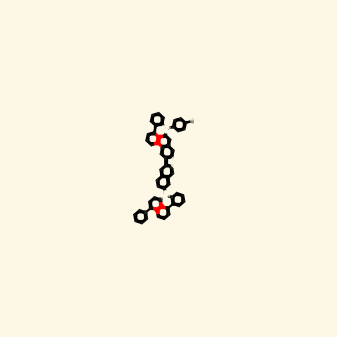 CC(C)c1ccc(N(c2ccc3cc4c(cc3c2)oc2cc3cc(N(c5ccc(-c6ccccc6)cc5)c5ccccc5-c5ccccc5)ccc3cc24)c2ccccc2-c2ccccc2)cc1